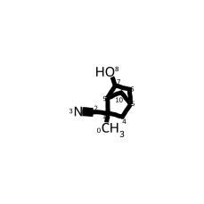 CC1(C#N)CC2CC(O)C1C2